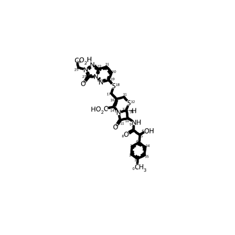 Cc1ccc(C(O)C(=O)NC2C(=O)N3C(C(=O)O)=C(CSc4ccc5nn(CC(=O)O)c(=O)n5n4)CS[C@@H]23)cc1